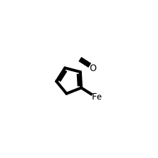 C=O.[Fe][C]1=CC=CC1